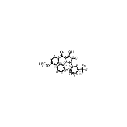 COc1ccc(C(=O)C2=C(O)C(=O)N(c3cccc(C(F)(F)F)c3)C2c2ccccc2OC)cc1